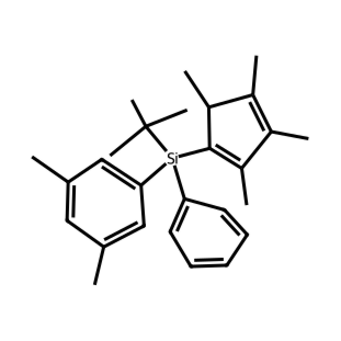 CC1=C(C)C(C)C([Si](c2ccccc2)(c2cc(C)cc(C)c2)C(C)(C)C)=C1C